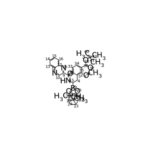 COc1c(CC(NC(=O)c2cnc3ccccc3n2)B2OC3CC4CC(C4(C)C)C3(C)O2)cccc1C(=O)OC(C)(C)C